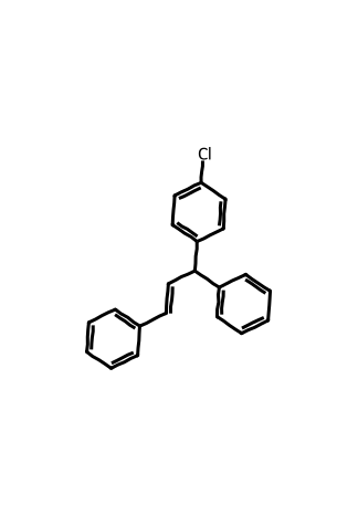 Clc1ccc(C(C=Cc2ccccc2)c2ccccc2)cc1